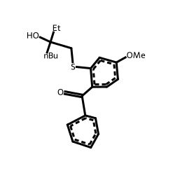 CCCCC(O)(CC)CSc1cc(OC)ccc1C(=O)c1ccccc1